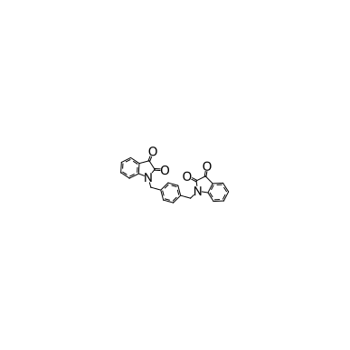 O=C1C(=O)N(Cc2ccc(CN3C(=O)C(=O)c4ccccc43)cc2)c2ccccc21